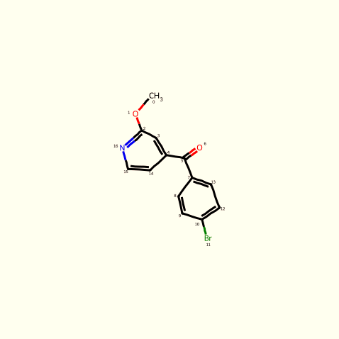 COc1cc(C(=O)c2ccc(Br)cc2)ccn1